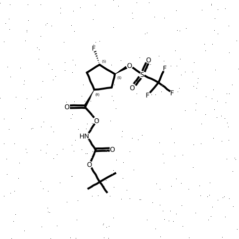 CC(C)(C)OC(=O)NOC(=O)[C@@H]1C[C@H](OS(=O)(=O)C(F)(F)F)[C@@H](F)C1